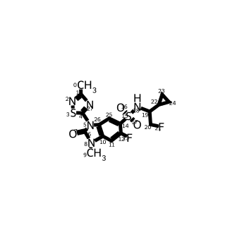 Cc1nsc(-n2c(=O)n(C)c3cc(F)c(S(=O)(=O)NC(CF)C4CC4)cc32)n1